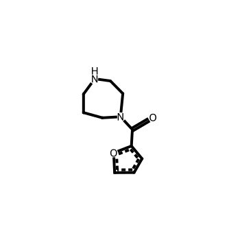 O=C(c1ccco1)N1CCCNCC1